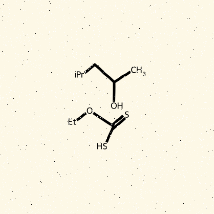 CC(C)CC(C)O.CCOC(=S)S